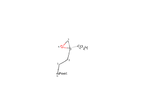 CCCCCCC[C@]1(C(=O)O)CO1